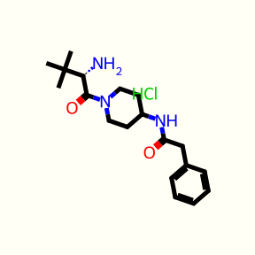 CC(C)(C)[C@H](N)C(=O)N1CCC(NC(=O)Cc2ccccc2)CC1.Cl